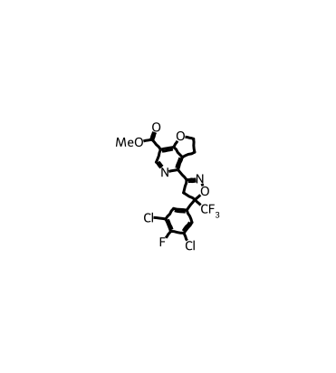 COC(=O)c1cnc(C2=NOC(c3cc(Cl)c(F)c(Cl)c3)(C(F)(F)F)C2)c2c1OCC2